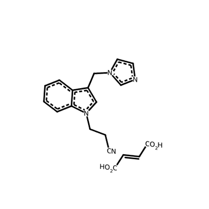 N#CCCn1cc(Cn2ccnc2)c2ccccc21.O=C(O)C=CC(=O)O